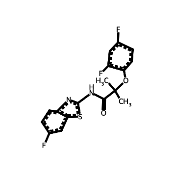 CC(C)(Oc1ccc(F)cc1F)C(=O)Nc1nc2ccc(F)cc2s1